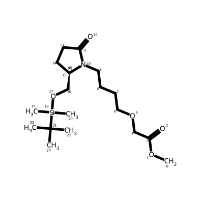 COC(=O)COCCCCN1C(=O)CC[C@@H]1CO[Si](C)(C)C(C)(C)C